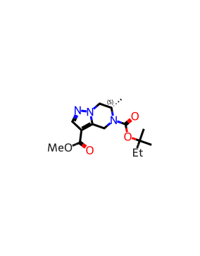 CCC(C)(C)OC(=O)N1Cc2c(C(=O)OC)cnn2C[C@@H]1C